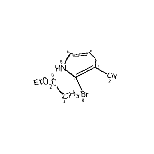 CCOC(C)=O.N#Cc1cc[nH]c1Br